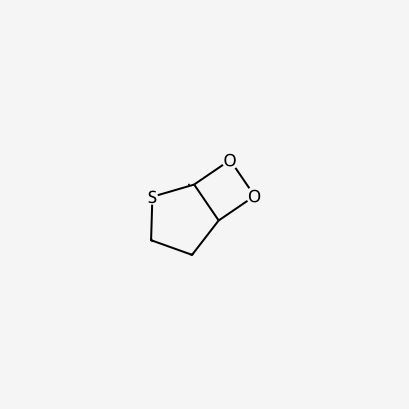 C1CC2OO[C]2S1